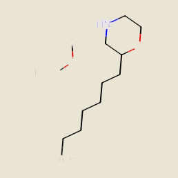 CCCCCCCCCCCCCCCCC1CNCCO1.CCOS(=O)(=O)O